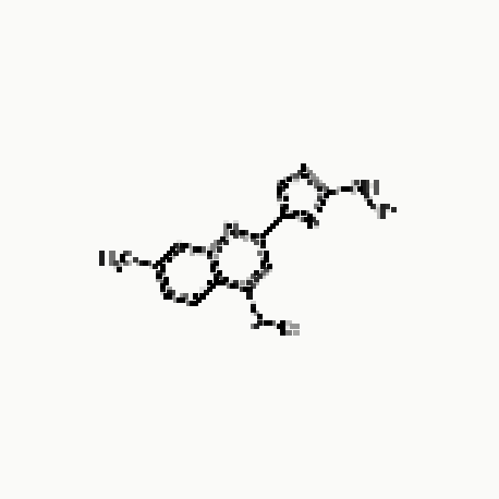 CCOc1cc(-c2csc(NC(C)C)n2)nc2cc(C)ccc12